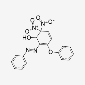 O=[N+]([O-])C1([N+](=O)[O-])C=CC(Oc2ccccc2)=C(N=Nc2ccccc2)C1O